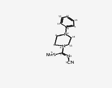 CSC(=NC#N)N1CCN(c2ccccc2)CC1